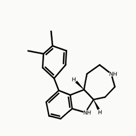 Cc1ccc(-c2cccc3c2[C@@H]2CCNCC[C@@H]2N3)cc1C